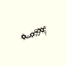 COc1cc(NC(=O)C2CCC(COCc3ccccc3)CC2)c(I)cc1Br